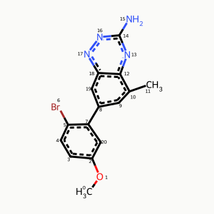 COc1ccc(Br)c(-c2cc(C)c3nc(N)nnc3c2)c1